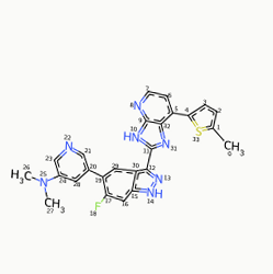 Cc1ccc(-c2ccnc3[nH]c(-c4n[nH]c5cc(F)c(-c6cncc(N(C)C)c6)cc45)nc23)s1